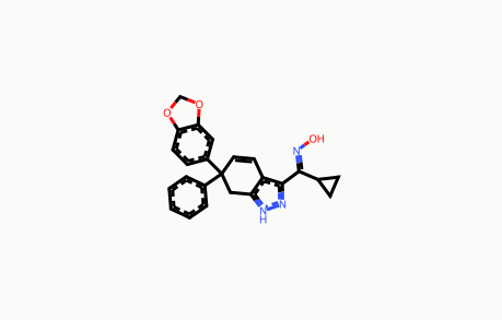 ON=C(c1n[nH]c2c1C=CC(c1ccccc1)(c1ccc3c(c1)OCO3)C2)C1CC1